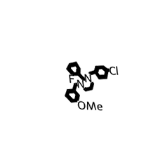 COc1cccc(CN2CCCN(Cc3ccc(Cl)cc3)C2c2ccccc2F)c1